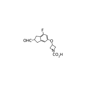 O=CC1Cc2cc(OC3CN(C(=O)O)C3)cc(F)c2C1